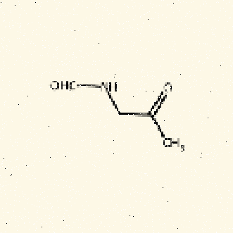 CC(=O)CN[C]=O